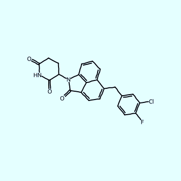 O=C1CCC(N2C(=O)c3ccc(Cc4ccc(F)c(Cl)c4)c4cccc2c34)C(=O)N1